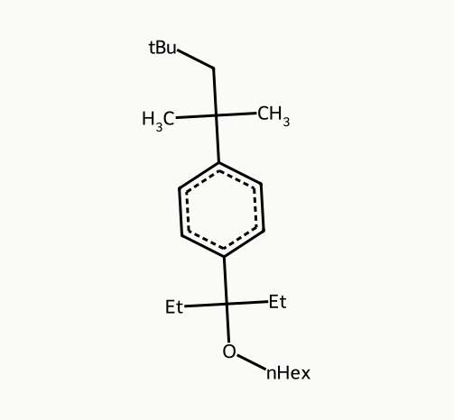 CCCCCCOC(CC)(CC)c1ccc(C(C)(C)CC(C)(C)C)cc1